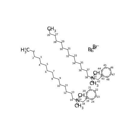 CCCCCCCCCCCCCCC[N+](C)(C)Cc1ccccc1.CCCCCCCCCCCCCC[N+](C)(C)Cc1ccccc1.[Br-].[Br-]